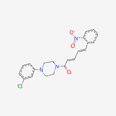 O=C(C=CC=Cc1ccccc1[N+](=O)[O-])N1CCN(c2cccc(Cl)c2)CC1